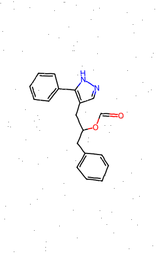 O=COC(Cc1ccccc1)Cc1cn[nH]c1-c1ccccc1